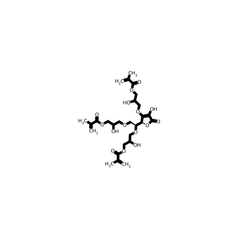 C=C(C)C(=O)OCC(O)COC[C@H](OCC(O)COC(=O)C(=C)C)[C@H]1OC(=O)C(O)=C1OCC(O)COC(=O)C(=C)C